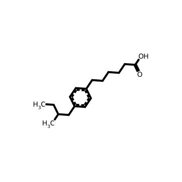 CCC(C)Cc1ccc(CCCCCC(=O)O)cc1